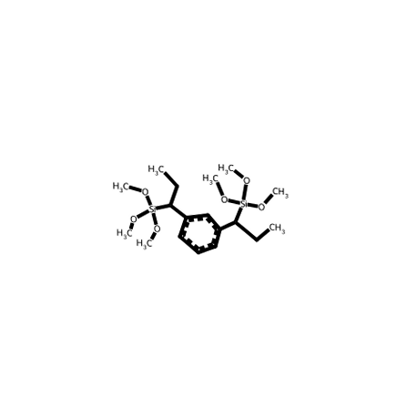 CCC(c1cccc(C(CC)[Si](OC)(OC)OC)c1)[Si](OC)(OC)OC